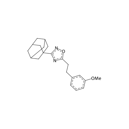 COc1cccc(CCc2nc(C34CC5CC(CC(C5)C3)C4)no2)c1